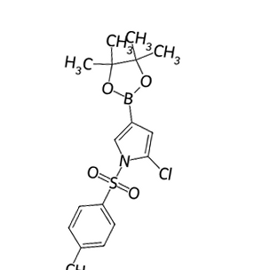 Cc1ccc(S(=O)(=O)n2cc(B3OC(C)(C)C(C)(C)O3)cc2Cl)cc1